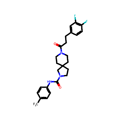 O=C(CCc1ccc(F)c(F)c1)N1CCC2(CC1)CCN(C(=O)Nc1ccc(C(F)(F)F)cc1)C2